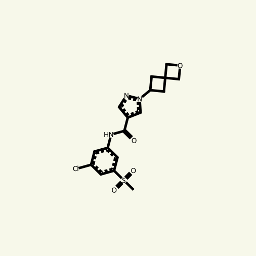 CS(=O)(=O)c1cc(Cl)cc(NC(=O)c2cnn(C3CC4(COC4)C3)c2)c1